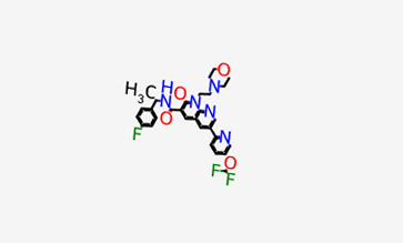 C[C@H](NC(=O)c1cc2cc(-c3ccc(OC(F)F)cn3)cnc2n(CCN2CCOCC2)c1=O)c1ccc(F)cc1